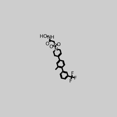 Cc1cc(C2=CCN(S(=O)(=O)CC(=O)NO)CC2)ccc1-c1cccc(C(F)(F)F)c1